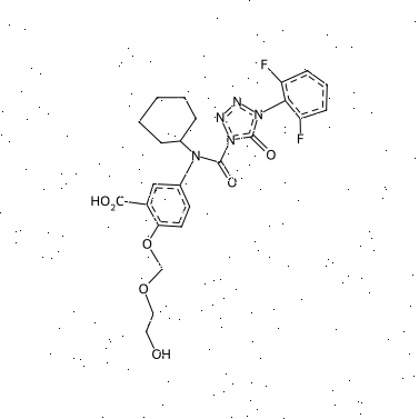 O=C(O)c1cc(N(C(=O)n2nnn(-c3c(F)cccc3F)c2=O)C2CCCCC2)ccc1OCOCCO